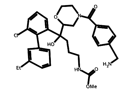 CCc1cccc(-c2c(Cl)cccc2C(O)(CCCNC(=O)OC)C2CN(C(=O)c3ccc(CN)cc3)CCO2)c1